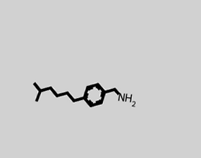 CC(C)CCCCc1ccc(CN)cc1